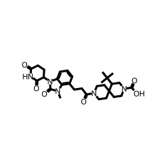 Cn1c(=O)n(C2CCC(=O)NC2=O)c2cccc(CCC(=O)N3CCC4(CCN(C(=O)O)CC4C(C)(C)C)CC3)c21